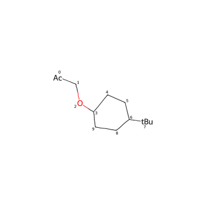 CC(=O)COC1CCC(C(C)(C)C)CC1